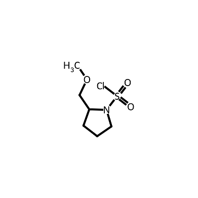 COCC1CCCN1S(=O)(=O)Cl